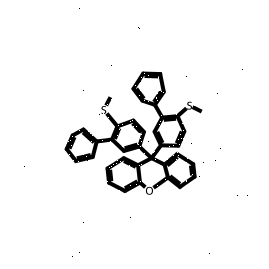 CSc1ccc(C2(c3ccc(SC)c(-c4ccccc4)c3)c3ccccc3Oc3ccccc32)cc1-c1ccccc1